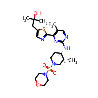 C[C@@H]1CN(S(=O)(=O)N2CCOCC2)CC[C@@H]1Nc1ncc(C(F)(F)F)c(-c2ncc(CC(C)(C)O)s2)n1